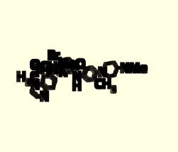 CNC1CCN(c2cc(OC)c(Nc3ncc(Br)c(Nc4ccc5nccnc5c4P(C)(C)=O)n3)cc2C)CC1